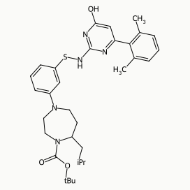 Cc1cccc(C)c1-c1cc(O)nc(NSc2cccc(N3CCC(CC(C)C)N(C(=O)OC(C)(C)C)CC3)c2)n1